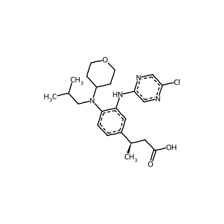 CC(C)CN(c1ccc([C@H](C)CC(=O)O)cc1Nc1cnc(Cl)cn1)C1CCOCC1